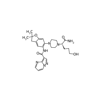 CC1(C)Cc2cc(NC(=O)c3cnn4cccnc34)c(N3CCN([C@H](CCCO)C(N)=O)CC3)cc2O1